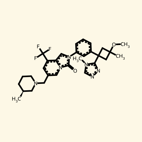 COC1(C)CC(c2cccc(-n3cc4c(C(F)(F)F)cc(CN5CCC[C@H](C)C5)cn4c3=O)c2)(c2nncn2C)C1